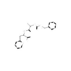 CC(NC(=O)OCc1ccccc1)C(=O)NC(Cc1ccccn1)C(=O)O